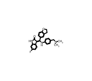 CN(C)Cc1ccc(NC(=C2C(=O)Nc3cc(F)ccc32)c2ccc3c(c2)CCO3)cc1